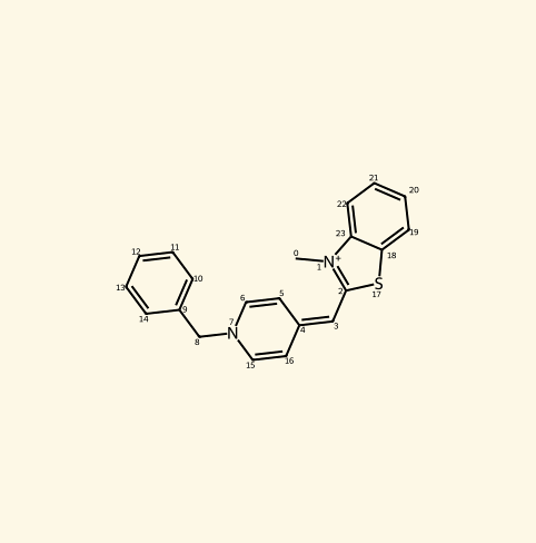 C[n+]1c(C=C2C=CN(Cc3ccccc3)C=C2)sc2ccccc21